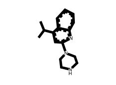 CC(C)c1cc(N2CCNCC2)nc2ccccc12